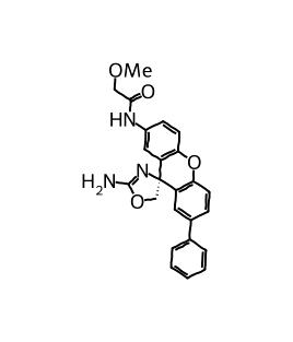 COCC(=O)Nc1ccc2c(c1)[C@@]1(COC(N)=N1)c1cc(-c3ccccc3)ccc1O2